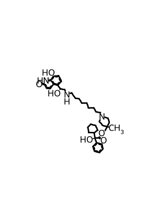 CC1(COC(=O)[C@](O)(c2ccccc2)C2CCCCC2)CCN(CCCCCCCCCNC[C@H](O)c2ccc(O)c3[nH]c(=O)ccc23)CC1